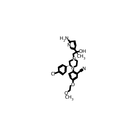 COCCOc1ccc(N2CCN(C[C@@](C)(O)c3ccc(N)nc3)C[C@H]2c2ccc(Cl)cc2)c(C#N)c1